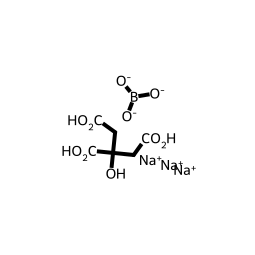 O=C(O)CC(O)(CC(=O)O)C(=O)O.[Na+].[Na+].[Na+].[O-]B([O-])[O-]